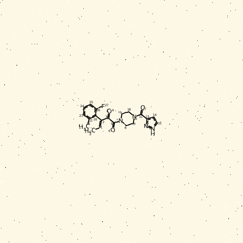 C/C=C(/C(=O)C(=O)N1CCN(C(=O)c2cc[nH]n2)CC1)c1c(C)cccc1F